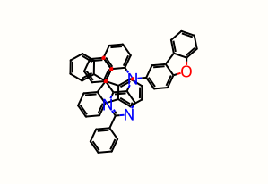 c1ccc(-c2ncc(N(c3ccc4oc5ccccc5c4c3)c3ccccc3C3(c4ccccc4)c4ccccc4-c4ccccc43)c(-c3ccccc3)n2)cc1